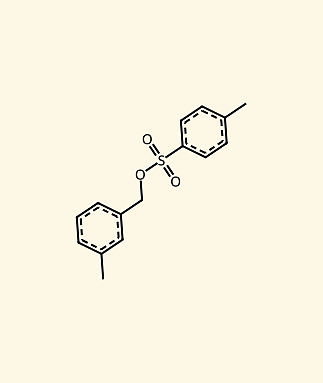 Cc1ccc(S(=O)(=O)OCc2cccc(C)c2)cc1